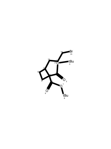 CC(C)(C)OC(=O)C1(C(=O)OC(C)(C)C)CCC1CCCBr